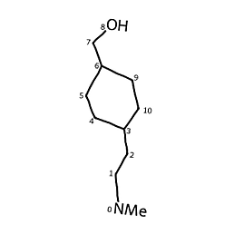 CNCCC1CCC(CO)CC1